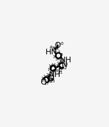 COC[C@@H](C)N[C@H]1CC[C@H](Nc2cc(-c3cccc(NCC4(OC)CCOCC4)c3)c(F)cn2)CC1